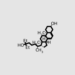 CCC(O)(CC)CCC[C@@H](C)[C@H]1CC[C@H]2C3=CC=C4C[C@@H](O)CC[C@]4(C)[C@H]3CC[C@]12C